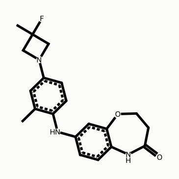 Cc1cc(N2CC(C)(F)C2)ccc1Nc1ccc2c(c1)OCCC(=O)N2